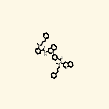 CN(CC=Cc1ccccc1)N(C(=O)c1ccccc1)c1cnc2ccccc2c1.CN(CCCc1ccccc1)c1ccccc1C(=O)Nc1cnc2ccccc2c1